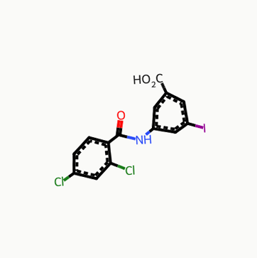 O=C(O)c1cc(I)cc(NC(=O)c2ccc(Cl)cc2Cl)c1